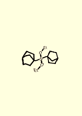 CCO[Si](OCC)(C12CCC(CC1)C2)C12CCC(CC1)C2